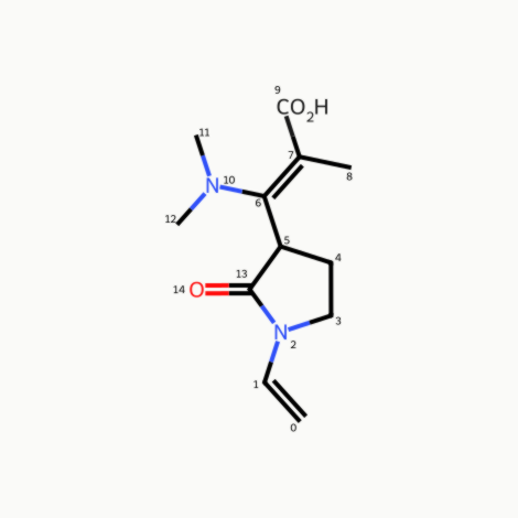 C=CN1CCC(C(=C(C)C(=O)O)N(C)C)C1=O